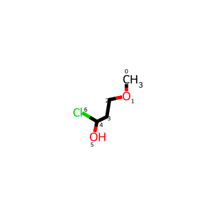 COCCC(O)Cl